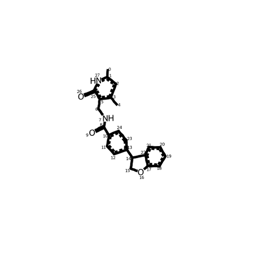 Cc1cc(C)c(CNC(=O)c2ccc(C3COc4ccccc43)cc2)c(=O)[nH]1